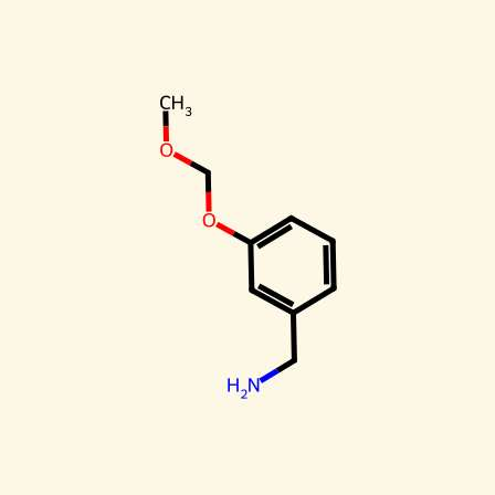 COCOc1cccc(CN)c1